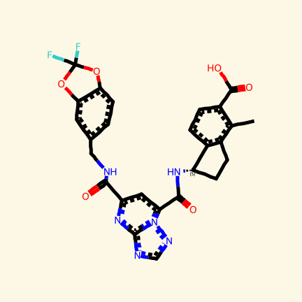 Cc1c(C(=O)O)ccc2c1CC[C@@H]2NC(=O)c1cc(C(=O)NCc2ccc3c(c2)OC(F)(F)O3)nc2ncnn12